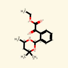 CCOC(=O)C(=O)c1ccccc1C1OC(C)CC(C)(C)O1